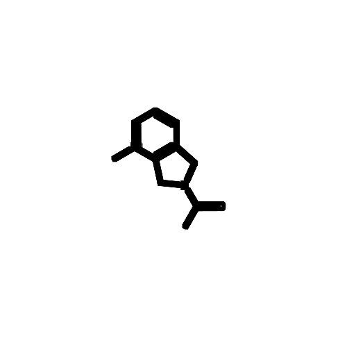 CC(=O)N1Cc2ccc[n+](C)c2C1